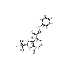 CS(=O)(=O)N1C[C@@H]2OCCN(C(=O)OCc3ccccc3)[C@@H]2C1